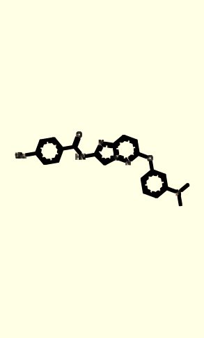 CN(C)c1cccc(Oc2ccc3nc(NC(=O)c4ccc(C(C)(C)C)cc4)cn3n2)c1